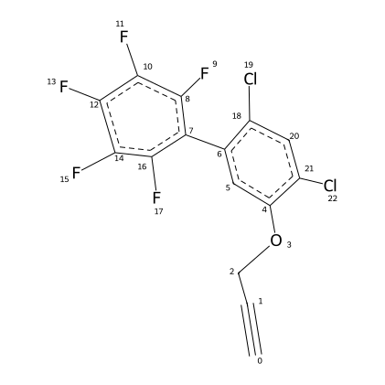 C#CCOc1cc(-c2c(F)c(F)c(F)c(F)c2F)c(Cl)cc1Cl